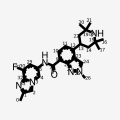 Cc1cn2cc(NC(=O)c3ccc(C4CC(C)(C)NC(C)(C)C4)c4cn(C)nc34)cc(F)c2n1